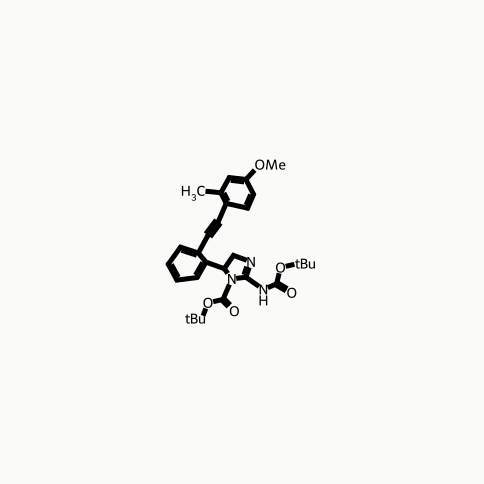 COc1ccc(C#Cc2ccccc2C2CN=C(NC(=O)OC(C)(C)C)N2C(=O)OC(C)(C)C)c(C)c1